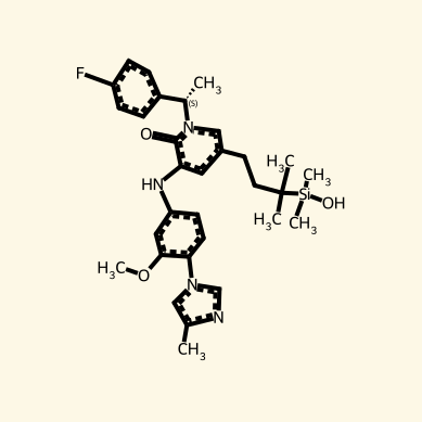 COc1cc(Nc2cc(CCC(C)(C)[Si](C)(C)O)cn([C@@H](C)c3ccc(F)cc3)c2=O)ccc1-n1cnc(C)c1